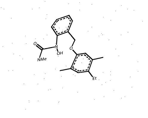 CCc1cc(C)c(OCc2ccccc2N(O)C(=O)NC)cc1C